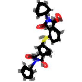 O=C1c2ccc(Sc3cccc4c3C(=O)N(c3ccccc3)C4=O)cc2C(=O)N1c1ccccc1